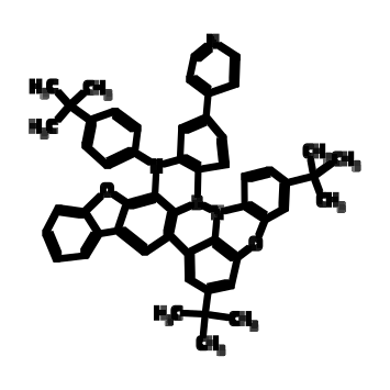 CC(C)(C)c1ccc(N2c3cc(-c4ccncc4)ccc3B3c4c(cc5c(oc6ccccc65)c42)-c2cc(C(C)(C)C)cc4c2N3c2ccc(C(C)(C)C)cc2O4)cc1